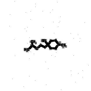 CC(C)OCCC1(O)CCN(C)CC1